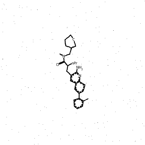 CCCC(Cc1cc2cc(-c3ccccc3C)ccc2nc1N)C(=O)N(C)CC1CCCCC1